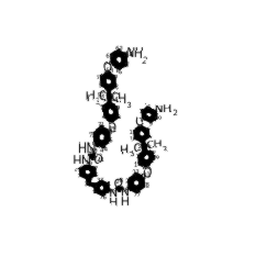 CC(C)(c1ccc(Oc2ccc(N)cc2)cc1)c1ccc(Oc2ccc(NC(=O)Nc3ccc(Cc4ccc(NC(=O)Nc5ccc(Oc6ccc(C(C)(C)c7ccc(Oc8ccc(N)cc8)cc7)cc6)cc5)cc4)cc3)cc2)cc1